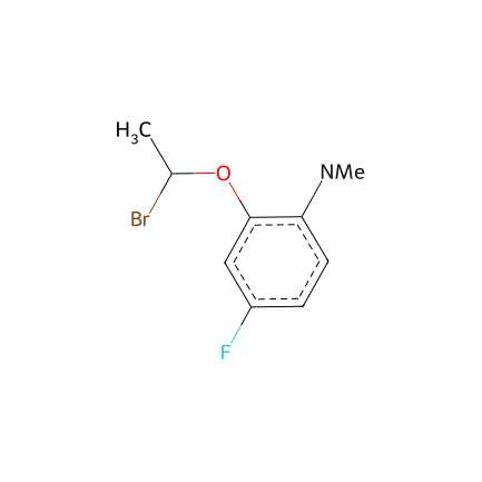 CNc1ccc(F)cc1OC(C)Br